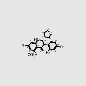 O=C(O)c1cc(F)cc2c1C(=O)[C@H](c1ccc(F)cc1F)[C@@H](C1CCOC1)N2